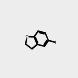 Ic1ccc2c(c1)CCO2